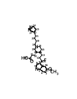 COc1ccc2nccc([C@H](F)CC[C@@H]3CCN(CCCCc4ccnnc4)C[C@H]3CCC(=O)O)c2c1